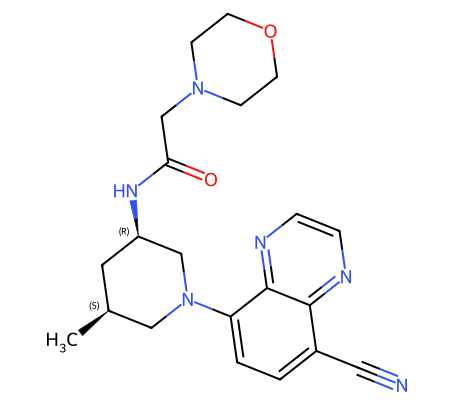 C[C@H]1C[C@@H](NC(=O)CN2CCOCC2)CN(c2ccc(C#N)c3nccnc23)C1